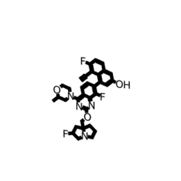 C#Cc1c(F)ccc2cc(O)cc(-c3ccc4c(N5CCOC(C)C5)nc(OCC56CCCN5CC(F)C6)nc4c3F)c12